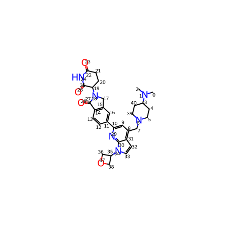 CN(C)C1CCN(Cc2cc(-c3ccc4c(c3)CN(C3CCC(=O)NC3=O)C4=O)nc3c2ccn3C2COC2)CC1